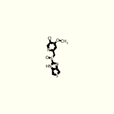 COc1cc(C[S+]([O-])c2nc3cscc3[nH]2)ncc1Cl